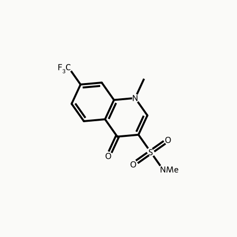 CNS(=O)(=O)c1cn(C)c2cc(C(F)(F)F)ccc2c1=O